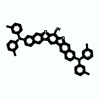 Cc1cccc(N(c2cccc(C)c2)c2ccc3cc4c(cc3c2)oc2c(C(C)C)c3oc5cc6cc(N(c7cccc(C)c7)c7cccc(C)c7)ccc6cc5c3cc24)c1